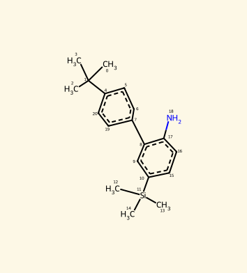 CC(C)(C)c1ccc(-c2cc([Si](C)(C)C)ccc2N)cc1